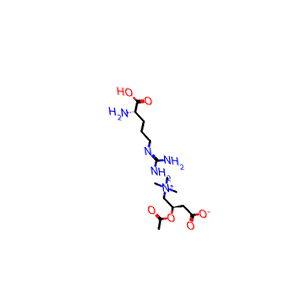 CC(=O)O[C@H](CC(=O)[O-])C[N+](C)(C)C.NC(N)=NCCC[C@H](N)C(=O)O